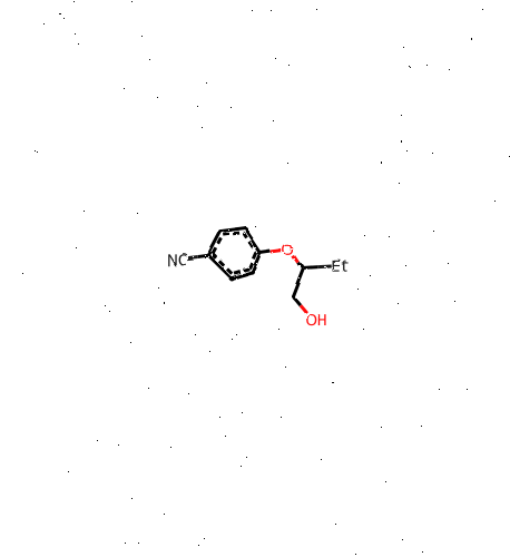 CCC(CO)Oc1ccc(C#N)cc1